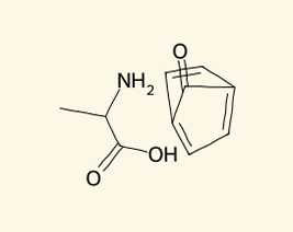 CC(N)C(=O)O.O=C1C2=CC=C1C=C2